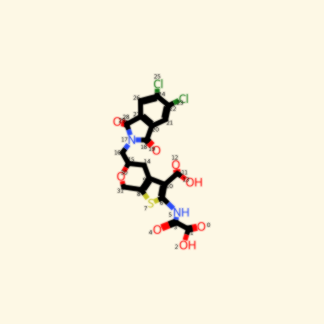 O=C(O)C(=O)Nc1sc2c(c1C(=O)O)CC(CN1C(=O)c3cc(Cl)c(Cl)cc3C1=O)OC2